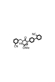 COC(=O)N[C@@H](Cc1cccc(C#N)c1)C(=O)Nc1ccc(-c2ccccc2C#N)cc1